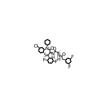 C[C@H](NC(=O)Cc1cc(F)cc(F)c1)C(=O)N[C@@H]1C(=O)N(c2ccccc2)c2cc(Cl)ccc2S[C@@H]1c1cc(F)ccc1F